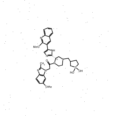 COc1ccc2nc(C)n(CC(=O)N3CCN(CC4CCS(O)(O)C4)C[C@H]3c3ncc(-c4cc5ccccc5nc4OC)[nH]3)c2c1